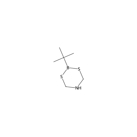 CC(C)(C)B1SCNCS1